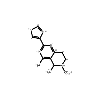 CC1c2c(O)nc(-c3cscn3)nc2CCN1C(=O)O